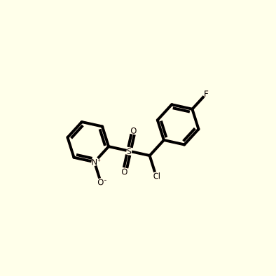 O=S(=O)(c1cccc[n+]1[O-])C(Cl)c1ccc(F)cc1